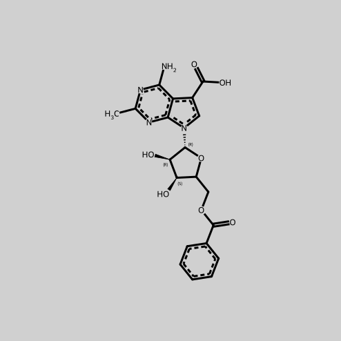 Cc1nc(N)c2c(C(=O)O)cn([C@@H]3OC(COC(=O)c4ccccc4)[C@@H](O)[C@H]3O)c2n1